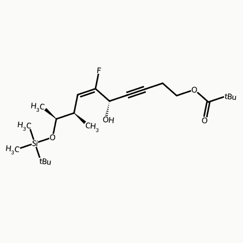 C[C@H](/C=C(/F)[C@@H](O)C#CCCOC(=O)C(C)(C)C)[C@H](C)O[Si](C)(C)C(C)(C)C